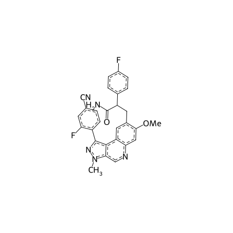 COc1cc2ncc3c(c(-c4ccc(C#N)cc4F)nn3C)c2cc1CC(C(N)=O)c1ccc(F)cc1